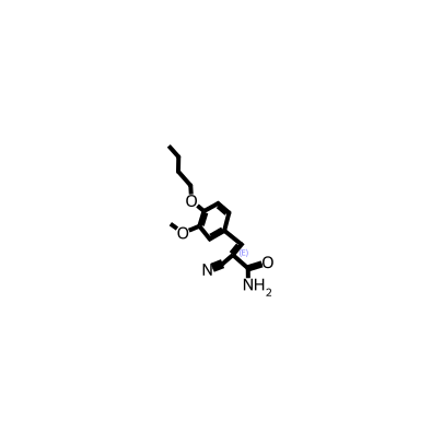 CCCCOc1ccc(/C=C(\C#N)C(N)=O)cc1OC